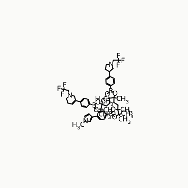 Cn1ccc(-c2ccc(B3OC(C)(C)C(C)(CCC4(C)OB(c5ccc(C6CCN(CC(F)(F)F)C6)cc5)OC4(C)CCC4(C)OB(c5ccc(C6=CCCN(CC(F)(F)F)C6)cc5)OC4(C)C)O3)cc2)c1